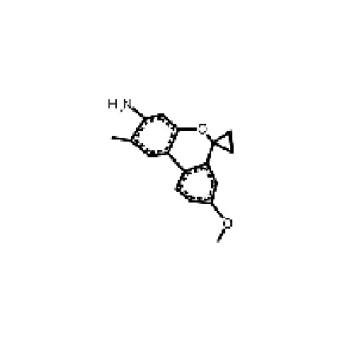 COc1ccc2c(c1)C1(CC1)Oc1cc(N)c(C)cc1-2